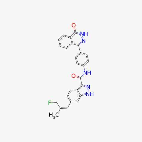 CC(=Cc1ccc2c(C(=O)Nc3ccc(-c4n[nH]c(=O)c5ccccc45)cc3)n[nH]c2c1)CF